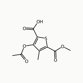 COC(=O)c1sc(C(=O)O)c(OC(C)=O)c1C